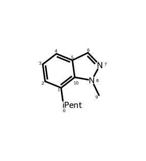 CCCC(C)c1cccc2cnn(C)c12